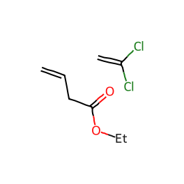 C=C(Cl)Cl.C=CCC(=O)OCC